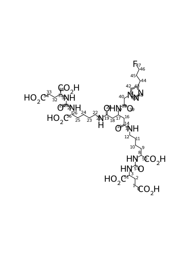 O=C(O)CCC(NC(=O)NC(CCCCNC(=O)CC(CC(=O)NCCCC[C@@H](NC(=O)N[C@@H](CCC(=O)O)C(=O)O)C(=O)O)NC(=O)Cn1cc(CCCF)nn1)C(=O)O)C(=O)O